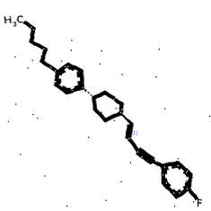 CCCCCc1ccc([C@H]2CC[C@H](/C=C/C#Cc3ccc(F)cc3)CC2)cc1